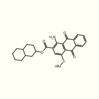 CCCCSc1cc(C(=O)OC2CCC3CCCCC3C2)c(N)c2c1C(=O)c1ccccc1C2=O